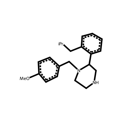 COc1ccc(CN2CCNCC2c2ccccc2CC(C)C)cc1